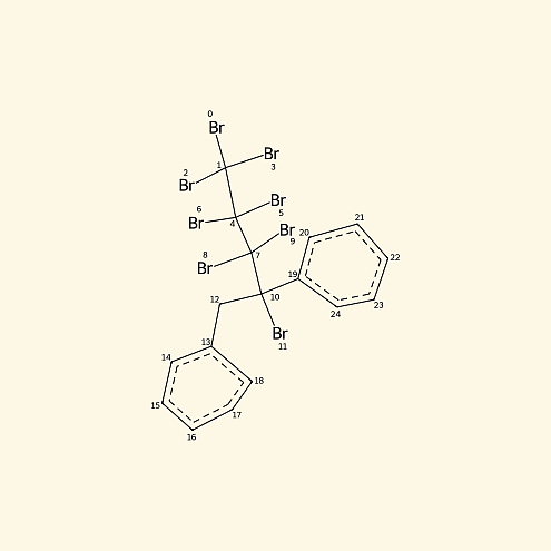 BrC(Br)(Br)C(Br)(Br)C(Br)(Br)C(Br)(Cc1ccccc1)c1ccccc1